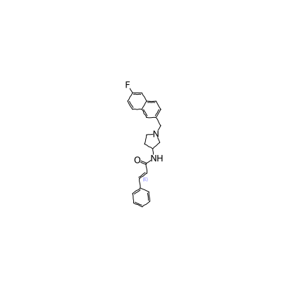 O=C(/C=C/c1ccccc1)NC1CCN(Cc2ccc3cc(F)ccc3c2)C1